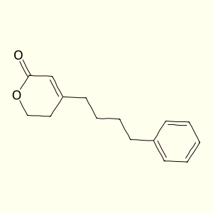 O=C1C=C(CCCCc2ccccc2)CCO1